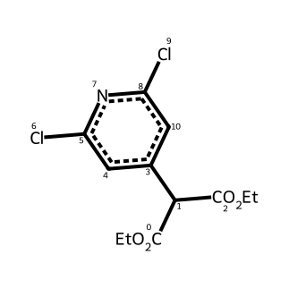 CCOC(=O)C(C(=O)OCC)c1cc(Cl)nc(Cl)c1